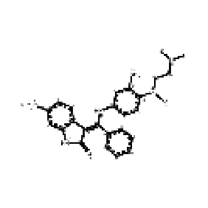 CCOC(=O)c1ccc2c(c1)NC(=O)C2=C(Nc1ccc(N(CCN(C)C)C(C)=O)c(N)c1)c1ccccc1